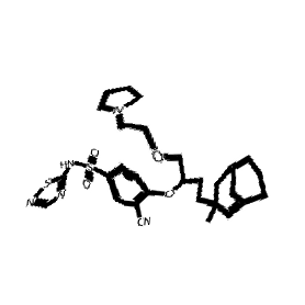 CC1(CCC(COCCN2CCCC2)Oc2ccc(S(=O)(=O)Nc3ncns3)cc2C#N)C=C2CCCC(C2)C1